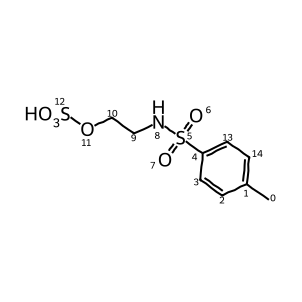 Cc1ccc(S(=O)(=O)NCCOS(=O)(=O)O)cc1